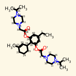 CCc1cc(OC(=O)CN2CCN(C(C)C)CC2)c(C2C=C(C)CCC2)c(OC(=O)CN2CCN(C(C)C)CC2)c1